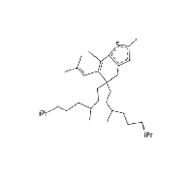 CC(C)=CC1=C(C)c2sc(C)cc2CC1(CCC(C)CCCC(C)C)CCC(C)CCCC(C)C